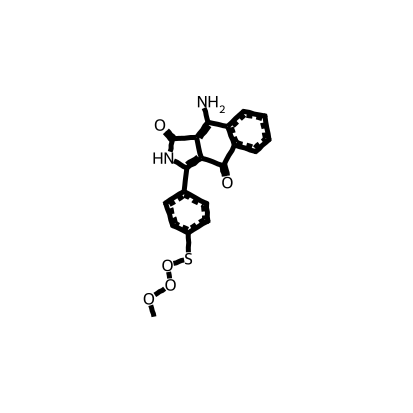 COOOSc1ccc(C2=C3C(=O)c4ccccc4C(N)=C3C(=O)N2)cc1